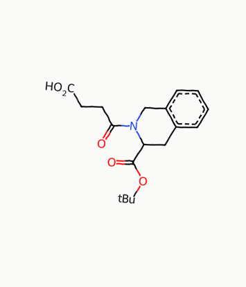 CC(C)(C)OC(=O)C1Cc2ccccc2CN1C(=O)CCC(=O)O